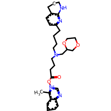 Cc1c2ccccc2nc[n+]1OC(=O)CCCN(CCCCc1ccc2c(n1)NCCC2)CC1COCCO1